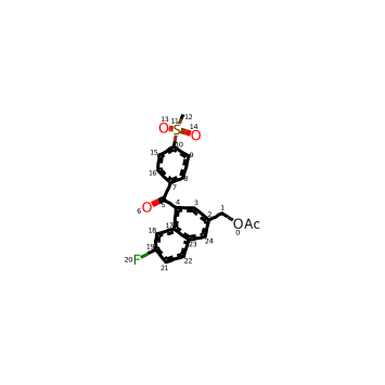 CC(=O)OCc1cc(C(=O)c2ccc(S(C)(=O)=O)cc2)c2cc(F)ccc2c1